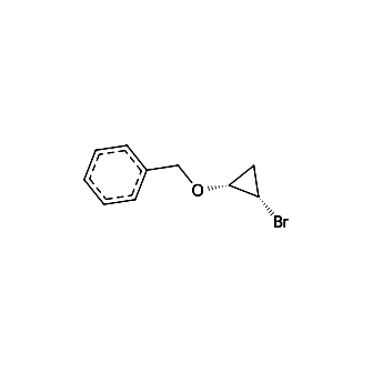 Br[C@H]1C[C@H]1OCc1ccccc1